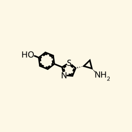 N[C@H]1C[C@H]1c1cnc(-c2ccc(O)cc2)s1